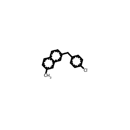 Cc1ccc2ccc(Cc3ccc(Cl)cc3)cc2c1